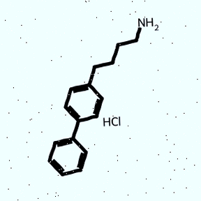 Cl.NCCCCc1ccc(-c2ccccc2)cc1